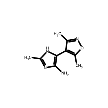 Cc1nc(N)c(-c2c(C)noc2C)[nH]1